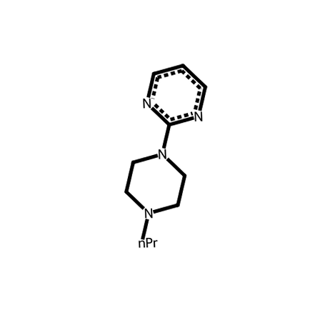 CCCN1CCN(c2ncccn2)CC1